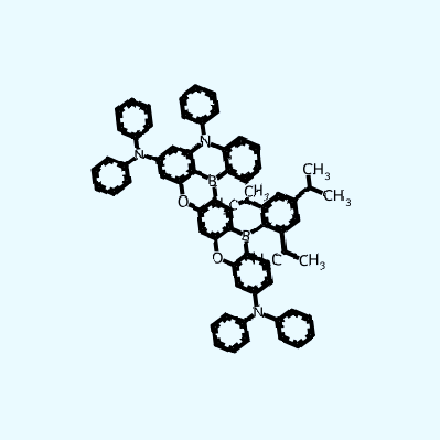 CC(C)c1cc(C(C)C)c(B2c3ccc(N(c4ccccc4)c4ccccc4)cc3Oc3cc4c(cc32)B2c3ccccc3N(c3ccccc3)c3cc(N(c5ccccc5)c5ccccc5)cc(c32)O4)c(C(C)C)c1